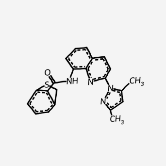 Cc1cc(C)n(-c2ccc3cccc(NC(=O)c4c5cccc4SC5)c3n2)n1